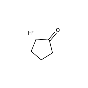 O=C1CCCC1.[H+]